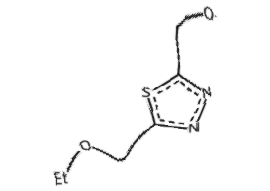 CCOCc1nnc(C[O])s1